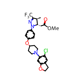 COC(=O)C[C@H]1[C@H](C)C(C(F)(F)F)=NN1c1ccc(OC2CCN(c3cc4c(cc3Cl)CCO4)CC2)cc1